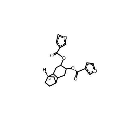 O=C(OC1CC2C3CC[C@@H](C3)C2CC1OC(=O)c1ccoc1)c1ccoc1